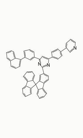 c1cncc(-c2ccc(-c3cc(-c4cccc(-c5cccc6ccccc56)c4)nc(-c4ccc5c(c4)C4(c6ccccc6-c6ccccc64)c4ccccc4-5)n3)cc2)c1